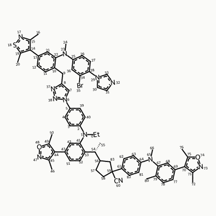 CCN(c1ccc(-n2cc(Cc3ccc(-c4c(C)nsc4C)cc3N(C)c3ccc(-n4ccnc4)c(Br)c3)nn2)cc1)c1cc(-c2c(C)noc2C)ccc1[C@H](C)C1CCC(C#N)(c2ccc(N(C)c3cc(-c4c(C)noc4C)ccc3C)cc2)C1